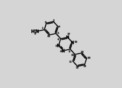 Nc1cccc(-c2nnc(-c3ccccc3)nn2)c1